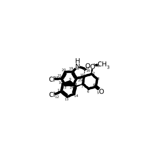 CO[C@H]1CC(=O)C[C@@H](c2ccc(Cl)cc2)[C@]12C(=O)Nc1cc(Cl)ccc12